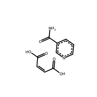 NC(=O)c1cccnc1.O=C(O)/C=C\C(=O)O